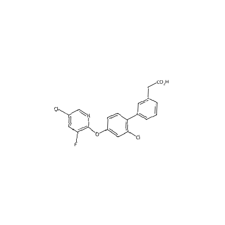 O=C(O)Cc1cccc(-c2ccc(Oc3ncc(Cl)cc3F)cc2Cl)c1